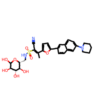 C/C(=C(/C#N)S(=O)(=O)NC[C@H]1OC(O)[C@H](O)[C@@H](O)[C@@H]1O)c1ccc(-c2ccc3cc(N4CCCCC4)ccc3c2)o1